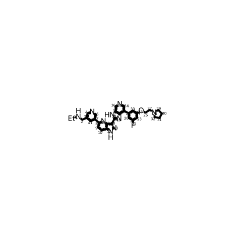 CCNCc1cncc(-c2ccc3[nH]nc(-c4nc5c(-c6cc(F)cc(OCCN7CCCC7)c6)cncc5[nH]4)c3n2)c1